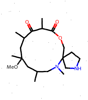 COC1(C)CC(C)CN(C)C2(CCNC2)COC(=O)C(C)C(=O)C(C)C1